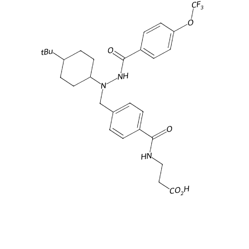 CC(C)(C)C1CCC(N(Cc2ccc(C(=O)NCCC(=O)O)cc2)NC(=O)c2ccc(OC(F)(F)F)cc2)CC1